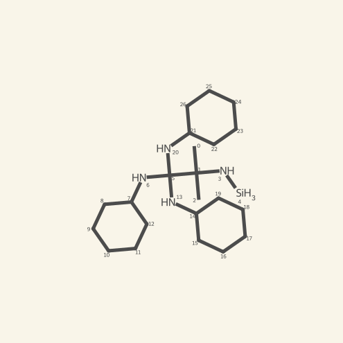 CC(C)(N[SiH3])C(NC1CCCCC1)(NC1CCCCC1)NC1CCCCC1